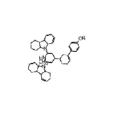 CC12C=CCCC1C1C=CCCC1N2C1=CC(C2CCC=C(c3ccc(C#N)cc3)C2)CC(N2C3C=CC=CC3C3CCCCC32)N1